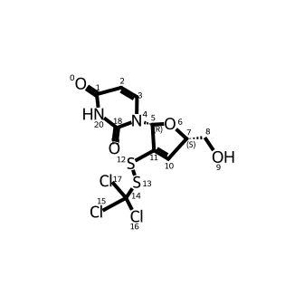 O=c1ccn([C@@H]2O[C@H](CO)C=C2SSC(Cl)(Cl)Cl)c(=O)[nH]1